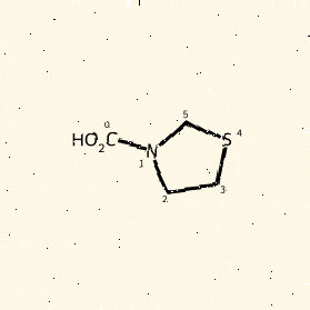 O=C(O)N1CCSC1